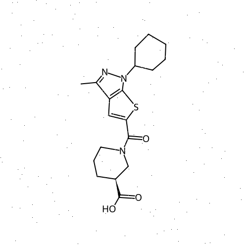 Cc1nn(C2CCCCC2)c2sc(C(=O)N3CCC[C@H](C(=O)O)C3)cc12